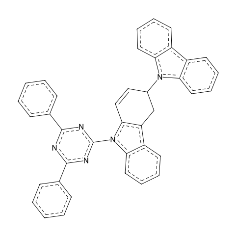 C1=CC(n2c3ccccc3c3ccccc32)Cc2c1n(-c1nc(-c3ccccc3)nc(-c3ccccc3)n1)c1ccccc21